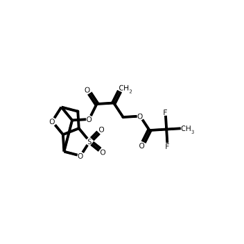 C=C(COC(=O)C(C)(F)F)C(=O)OC1C2CC3C(O2)C1OS3(=O)=O